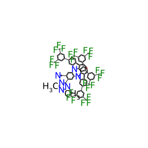 Cc1nc(C)nc(-c2cc(-n3c4cc(-c5cc(C(F)(F)F)cc(C(F)(F)F)c5)ccc4c4ccc(-c5cc(C(F)(F)F)cc(C(F)(F)F)c5)cc43)c(-n3c4cc(-c5cc(C(F)(F)F)cc(C(F)(F)F)c5)ccc4c4ccc(-c5cc(C(F)(F)F)cc(C(F)(F)F)c5)cc43)cc2C#N)n1